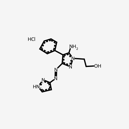 Cl.Nc1c(-c2ccccc2)c(N=Nc2cc[nH]n2)nn1CCO